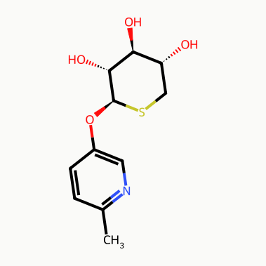 Cc1ccc(O[C@@H]2SC[C@@H](O)[C@H](O)[C@H]2O)cn1